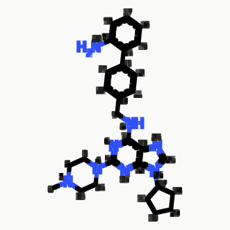 CN1CCN(c2nc(NCc3ccc(-c4ccccc4N)cc3)c3ncn(C4CCCC4)c3n2)CC1